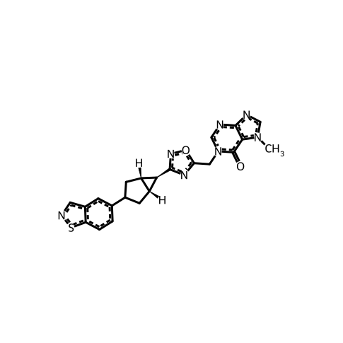 Cn1cnc2ncn(Cc3nc([C@H]4[C@@H]5CC(c6ccc7sncc7c6)C[C@@H]54)no3)c(=O)c21